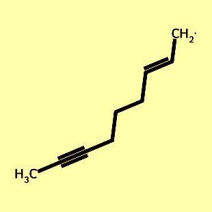 [CH2]C=CCCCC#CC